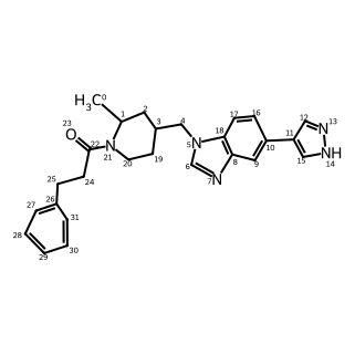 CC1CC(Cn2cnc3cc(-c4cn[nH]c4)ccc32)CCN1C(=O)CCc1ccccc1